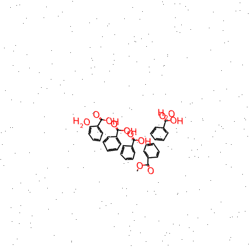 COC(=O)c1ccccc1.O.O.O=C(O)c1ccccc1.O=C(O)c1ccccc1.O=C(O)c1ccccc1.O=C(O)c1ccccc1